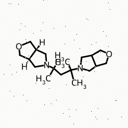 CC(C)(CC(C)(C)N1C[C@H]2COC[C@@H]2C1)N1CC2COCC2C1